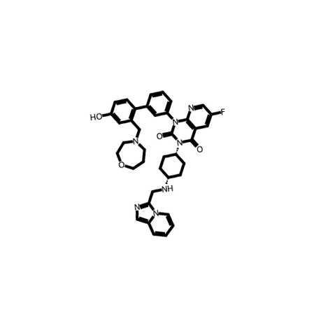 O=c1c2cc(F)cnc2n(-c2cccc(-c3ccc(O)cc3CN3CCCOCC3)c2)c(=O)n1[C@H]1CC[C@@H](NCc2ncc3ccccn23)CC1